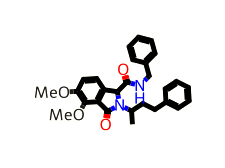 COc1ccc2c(c1OC)C(=O)N(C(C)CCc1ccccc1)C2C(=O)NCc1ccccc1